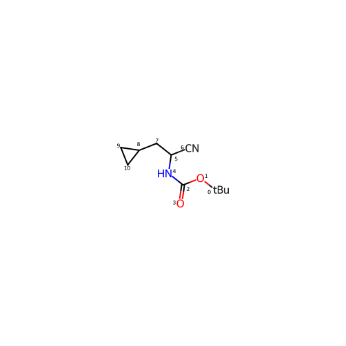 CC(C)(C)OC(=O)NC(C#N)CC1CC1